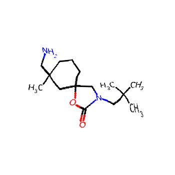 CC(C)(C)CN1CC2(CCCC(C)(CN)C2)OC1=O